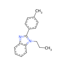 CCCn1c(-c2ccc(C)cc2)nc2ccccc21